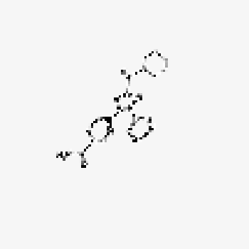 NC(=O)c1ccc(-c2cc(C(=O)N3CCCCC3)nn2-c2cccnc2)nc1